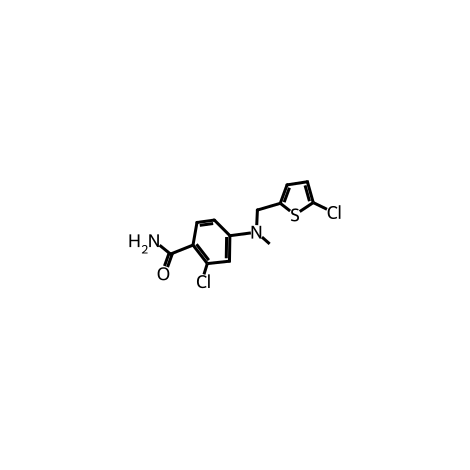 CN(Cc1ccc(Cl)s1)c1ccc(C(N)=O)c(Cl)c1